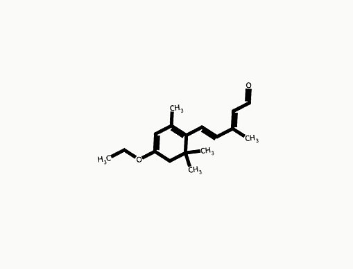 CCOC1=CC(C)=C(C=CC(C)=CC=O)C(C)(C)C1